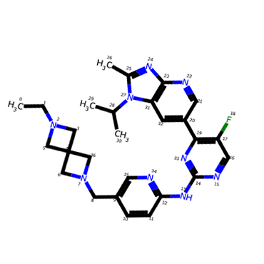 CCN1CC2(C1)CN(Cc1ccc(Nc3ncc(F)c(-c4cnc5nc(C)n(C(C)C)c5c4)n3)nc1)C2